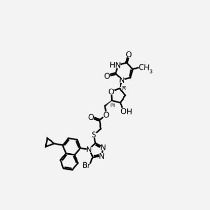 Cc1cn([C@H]2CC(O)[C@@H](COC(=O)CSc3nnc(Br)n3-c3ccc(C4CC4)c4ccccc34)O2)c(=O)[nH]c1=O